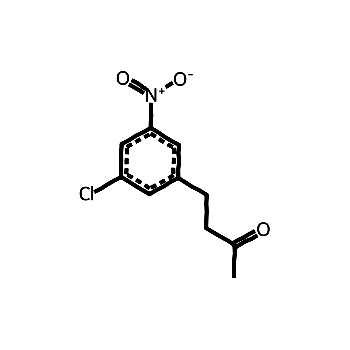 CC(=O)CCc1cc(Cl)cc([N+](=O)[O-])c1